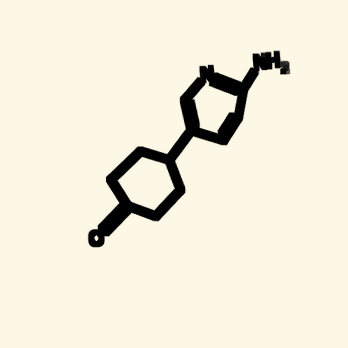 Nc1ccc(C2CCC(=O)CC2)cn1